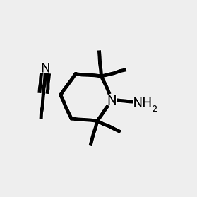 CC#N.CC1(C)CCCC(C)(C)N1N